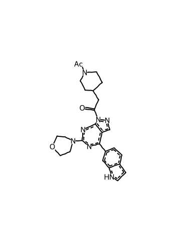 CC(=O)N1CCC(CC(=O)n2ncc3c(-c4ccc5cc[nH]c5c4)nc(N4CCOCC4)nc32)CC1